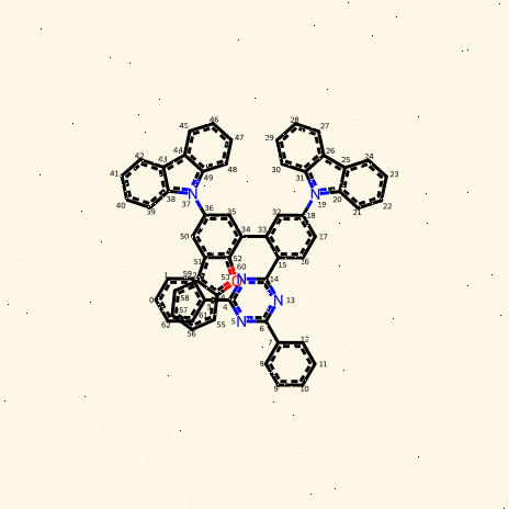 c1ccc(-c2nc(-c3ccccc3)nc(-c3ccc(-n4c5ccccc5c5ccccc54)cc3-c3cc(-n4c5ccccc5c5ccccc54)cc4c3oc3ccccc34)n2)cc1